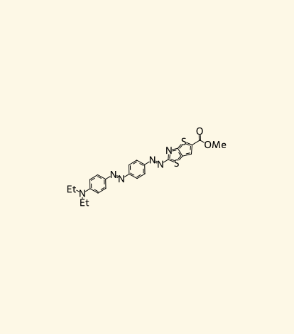 CCN(CC)c1ccc(N=Nc2ccc(N=Nc3nc4sc(C(=O)OC)cc4s3)cc2)cc1